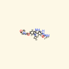 CC(C)NC(=O)Nc1ccc(-c2c(N)c3ccc(OCCN4CCOCC4)cc3n2C2CCC2)cc1